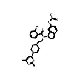 Cc1cc(N2CCC(CCN(C(=O)c3ccccc3Cl)[C@@H]3CCc4ccc(OC(=O)O)cc43)CC2)nc(C)n1